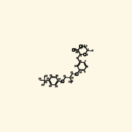 CC(C)OC(Cc1cccc(OCC(F)COc2ccc(C(C)(C)C)cc2)c1)C(=O)O